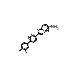 Cc1ccc(-c2ccc(-c3cn4nc(N)ccc4n3)nn2)cc1C